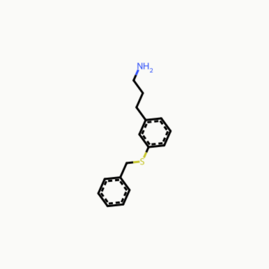 NCCCc1cccc(SCc2ccccc2)c1